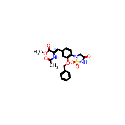 COC(=O)/C(=C/c1ccc(N2CC(=O)NS2(=O)=O)c(OCc2ccccc2)c1)NC(C)=O